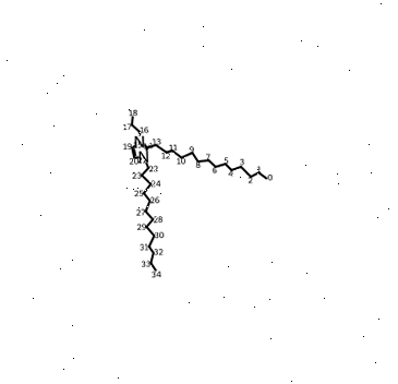 CCCCCCCCCCCCCCC1N(CCC)C=CN1CCCCCCCCCCCCC